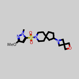 COc1cc(S(=O)(=O)N2CCC3(CCC(N4CC5(COC5)C4)C3)CC2)n(C)n1